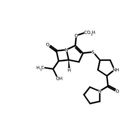 CC(O)C1C(=O)N2C(OC(=O)O)=C(SC3CNC(C(=O)N4CCCC4)C3)C[C@H]12